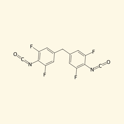 O=C=Nc1c(F)cc(Cc2cc(F)c(N=C=O)c(F)c2)cc1F